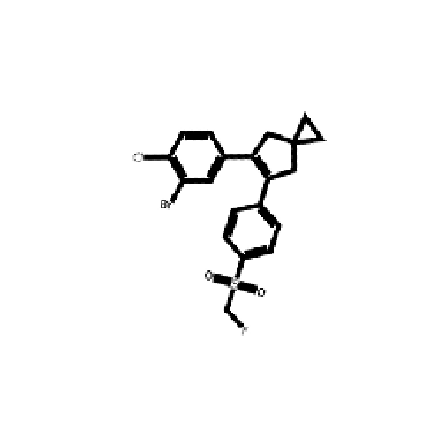 O=S(=O)(CF)c1ccc(C2=C(c3ccc(Cl)c(Br)c3)CC3(CC3)C2)cc1